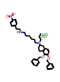 CCCN(CCCCCCNCCc1ccc([N+](=O)[O-])cc1)[C@H]1CCc2c(ccc(OCc3ccccc3)c2OCc2ccccc2)C1.Cl.Cl